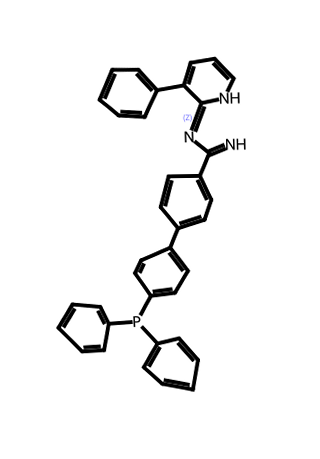 N=C(/N=c1\[nH]cccc1-c1ccccc1)c1ccc(-c2ccc(P(c3ccccc3)c3ccccc3)cc2)cc1